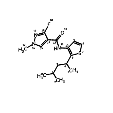 CC(C)CC(C)c1sccc1NC(=O)c1cn(C)nc1F